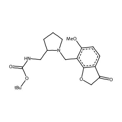 COc1ccc2c(c1CN1CCCC1CNC(=O)OC(C)(C)C)OCC2=O